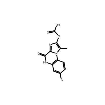 Cc1c(OC(=O)O)nc2c(=O)[nH]c3cc(Br)ccc3n12